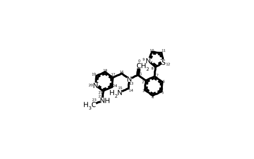 C=C(c1ccccc1-c1nccs1)N(CN)Cc1ccnc(NC)c1